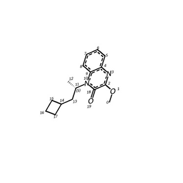 COc1nc2ccccc2n([C@@H](C)CC2CCC2)c1=O